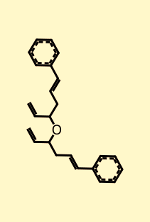 C=CC(CC=Cc1ccccc1)OC(C=C)CC=Cc1ccccc1